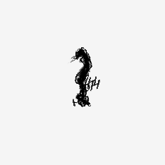 CCNS(=O)(=O)c1cccc(OCC(O)CNC2COC3(CCN(S(=O)(=O)c4cnc5c(c4)N(C)CCO5)CC3)C2)c1